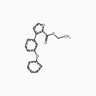 CCOC(=O)c1occc1-c1cccc(Oc2ccccc2)c1